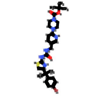 CC(C)(C)OC(=O)N1CCN(c2ccc(CNC(=O)Nc3nc(C(C)(C)c4ccc(Br)cc4)cs3)cn2)CC1